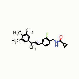 Cc1cc(C(/C=C/c2ccc(CNC(=O)C3CC3)c(F)c2)C(F)(F)F)cc(C)c1C